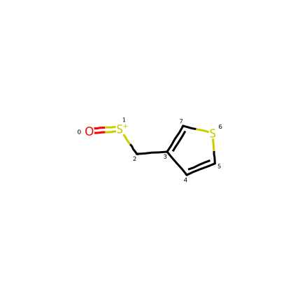 O=[S+]Cc1ccsc1